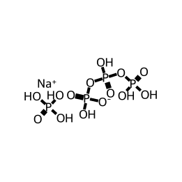 O=P(O)(O)O.O=P([O-])(O)OP(=O)(O)OP(=O)(O)O.[Na+]